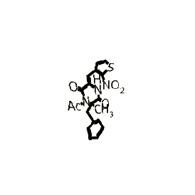 CC(=O)N1C(=O)/C(=C/c2ccsc2[N+](=O)[O-])NC(=O)C1(C)Cc1ccccc1